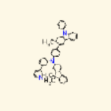 CC1Cc2c(c3ccccc3n2-c2ccccc2)C=C1c1ccc(N(c2cccc(-c3cccnc3)c2)c2ccc3c(c2)C(C)(C)c2ccccc2-3)cc1